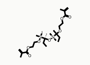 C=C(C)C(=O)OCCOC(C)(CC)[Si](C)(C)O[C@@](C)(CC)[Si](C)(I)OCCOC(=O)C(=C)C